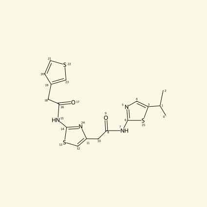 CC(C)c1cnc(NC(=O)Cc2csc(NC(=O)Cc3ccsc3)n2)s1